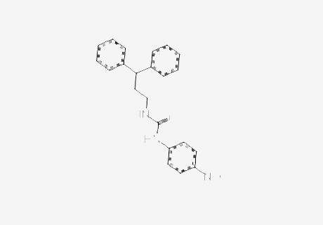 O=C(NCCC(c1ccccc1)c1ccccc1)Nc1ccc([N+](=O)[O-])cc1